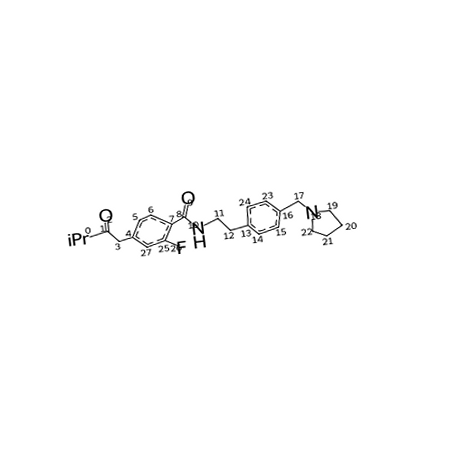 CC(C)C(=O)Cc1ccc(C(=O)NCCc2ccc(CN3CCCC3)cc2)c(F)c1